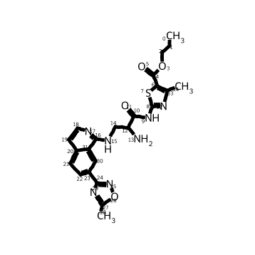 CCCOC(=O)c1sc(NC(=O)C(N)CNc2nccc3ccc(-c4noc(C)n4)cc23)nc1C